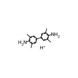 Cc1cc(-c2cc(C)c(N)c(C)c2)cc(C)c1N.[H+]